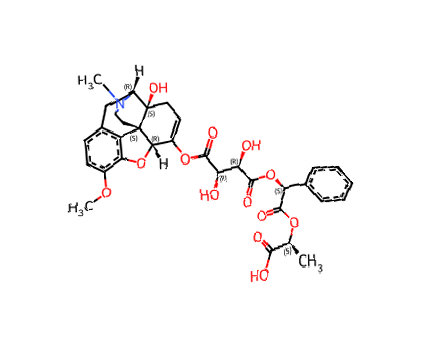 COc1ccc2c3c1O[C@H]1C(OC(=O)[C@H](O)[C@@H](O)C(=O)O[C@H](C(=O)O[C@@H](C)C(=O)O)c4ccccc4)=CC[C@@]4(O)[C@@H](C2)N(C)CC[C@]314